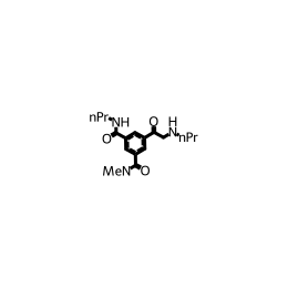 CCCNCC(=O)c1cc(C(=O)NC)cc(C(=O)NCCC)c1